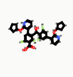 O=C(O)c1c(F)cc(-c2cccnc2OC2CCCC2)c(C(O)c2c(F)cc(-c3cccnc3OC3CCCC3)cc2F)c1F